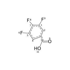 Fc1cccc(F)c1F.O=CO